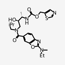 CCN(C)c1nc2ccc(C(=O)N(CC(C)C)C[C@@H](O)[C@H](C)NC(=O)OCc3cncs3)cc2o1